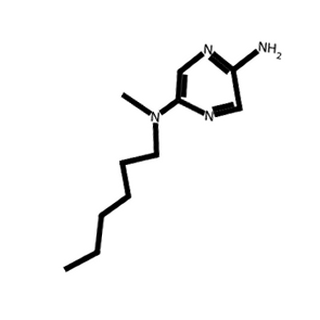 CCCCCCN(C)c1cnc(N)cn1